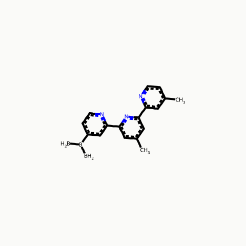 BB(B)c1ccnc(-c2cc(C)cc(-c3cc(C)ccn3)n2)c1